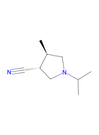 CC(C)N1C[C@H](C)[C@@H](C#N)C1